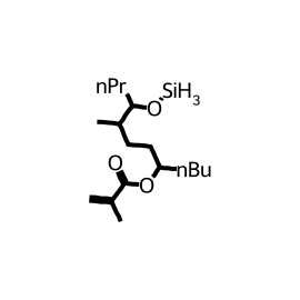 C=C(C)C(=O)OC(CCCC)CCC(C)C(CCC)O[SiH3]